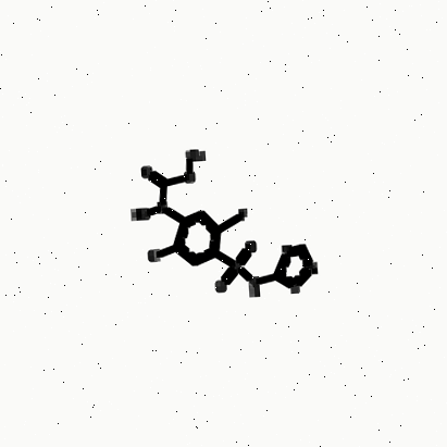 CC(C)(C)OC(=O)N(O)c1cc(F)c(S(=O)(=O)Nc2ncns2)cc1Cl